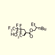 CCCCC(CC)COC(=O)C(=CC(=O)O)CC(F)(F)C(F)(F)C(F)(F)F